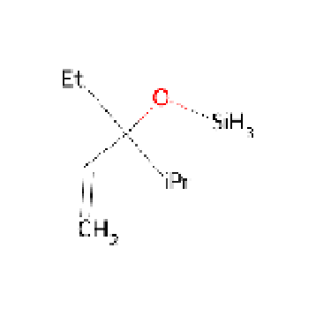 C=CC(CC)(O[SiH3])C(C)C